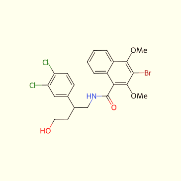 COc1c(Br)c(OC)c2ccccc2c1C(=O)NCC(CCO)c1ccc(Cl)c(Cl)c1